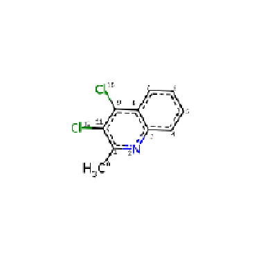 Cc1nc2ccccc2c(Cl)c1Cl